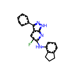 Fc1cc2c(-c3ccccc3)n[nH]c2nc1Nc1cccc2c1CCC2